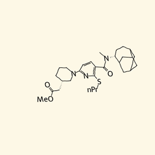 CCCSc1nc(N2CCC[C@@H](CC(=O)OC)C2)ccc1C(=O)N(C)[C@@H]1CCC2CC3CC2CC1C3